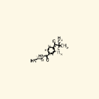 CC(C)(C)C(=O)c1ccc(C(=O)NCCS)cc1